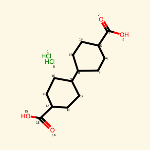 Cl.Cl.O=C(O)C1CCC(C2CCC(C(=O)O)CC2)CC1